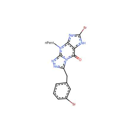 CCCCCn1c2nc(Br)[nH]c2c(=O)n2c(Cc3cccc(Br)c3)nnc12